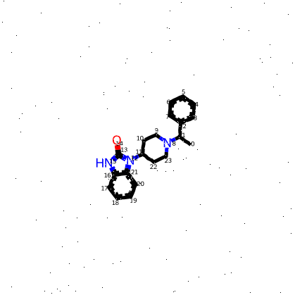 CC(c1ccccc1)N1CCC(n2c(=O)[nH]c3ccccc32)CC1